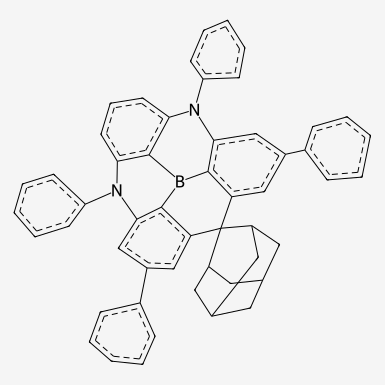 c1ccc(-c2cc3c4c(c2)C2(c5cc(-c6ccccc6)cc6c5B4c4c(cccc4N6c4ccccc4)N3c3ccccc3)C3CC4CC(C3)CC2C4)cc1